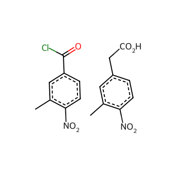 Cc1cc(C(=O)Cl)ccc1[N+](=O)[O-].Cc1cc(CC(=O)O)ccc1[N+](=O)[O-]